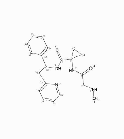 CNCC(=O)NC1(C(=O)NC(Cc2ccccn2)c2ccccc2)CC1